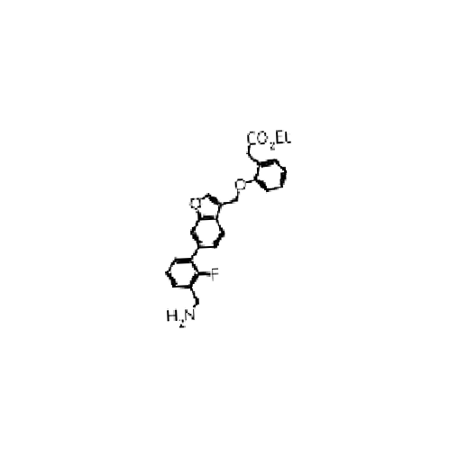 CCOC(=O)Cc1ccccc1OCc1coc2cc(-c3cccc(CN)c3F)ccc12